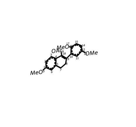 COc1ccc2c(c1)CCC(c1cc(OC)ccc1OC)=C2OC(C)=O